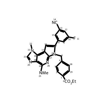 CCOC(=O)c1ccc(Cn2c(-c3cc(F)cc(C#N)c3)cc3c4c(ncn4C)c(NC)nc32)cc1